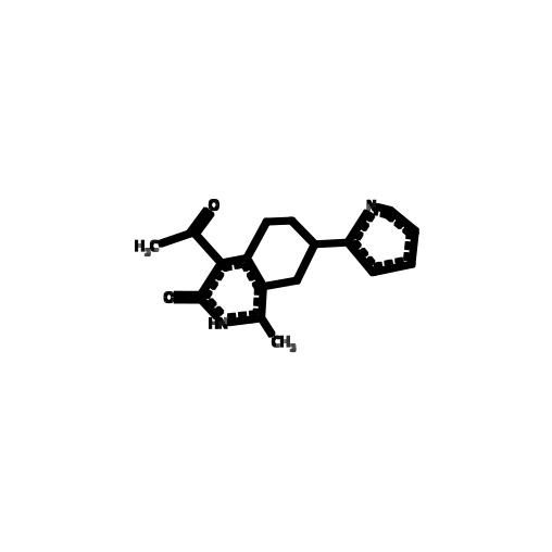 CC(=O)c1c2c(c(C)[nH]c1=O)CC(c1ccccn1)CC2